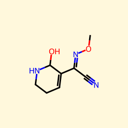 CON=C(C#N)C1=CCCNC1O